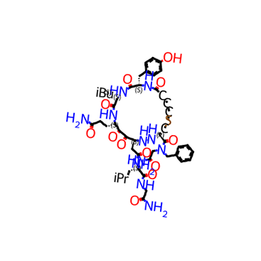 CC[C@H](C)[C@@H]1NC(=O)[C@H](Cc2ccc(O)cc2)NC(=O)CCCSC[C@@H](C(=O)N(CC(=O)N[C@@H](CC(C)C)C(=O)NCC(N)=O)Cc2ccccc2)NN[C@@H](CC(N)=O)C(=O)C(=O)[C@H](CCC(N)=O)NC1=O